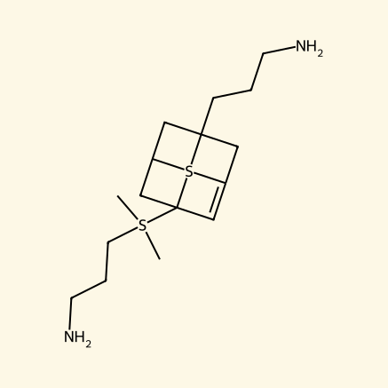 CS(C)(CCCN)C12C=C3CC4(CCCN)CC(C1)S342